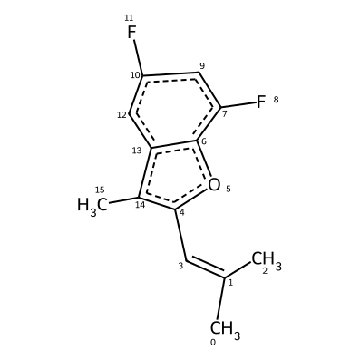 CC(C)=Cc1oc2c(F)cc(F)cc2c1C